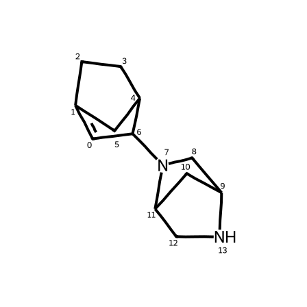 C1=C2CCC(C2)C1N1CC2CC1CN2